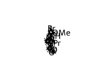 COc1cc(Br)cc(C)c1Nc1nc2cccc(N(c3cccc(S(C)(=O)=O)c3)C(C)C)c2n1C